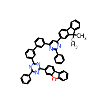 CC1(C)c2ccccc2-c2ccc(-c3cc(-c4cccc(-c5cccc(-c6nc(-c7ccccc7)nc(-c7ccc8c(c7)oc7ccccc78)n6)c5)c4)nc(-c4ccccc4)n3)cc21